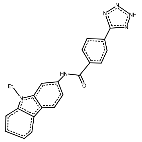 CCn1c2ccccc2c2ccc(NC(=O)c3ccc(-c4nn[nH]n4)cc3)cc21